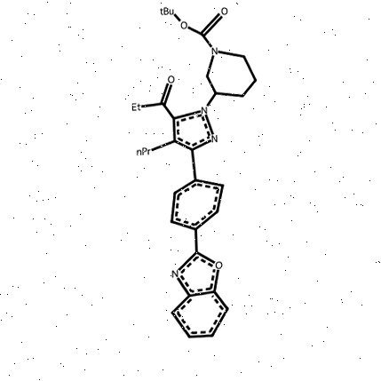 CCCc1c(-c2ccc(-c3nc4ccccc4o3)cc2)nn(C2CCCN(C(=O)OC(C)(C)C)C2)c1C(=O)CC